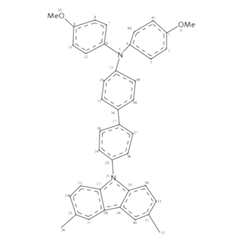 COc1ccc(N(c2ccc(OC)cc2)c2ccc(-c3ccc(-n4c5ccc(C)cc5c5cc(C)ccc54)cc3)cc2)cc1